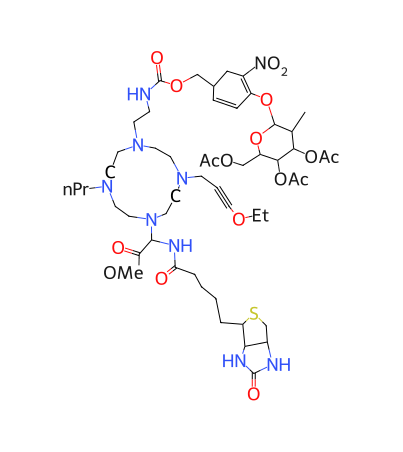 CCCN1CCN(CCNC(=O)OCC2C=CC(OC3OC(COC(C)=O)C(OC(C)=O)C(OC(C)=O)C3C)=C([N+](=O)[O-])C2)CCN(CC#COCC)CCN(C(NC(=O)CCCCC2SCC3NC(=O)NC32)C(=O)OC)CC1